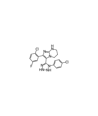 Fc1ccc(Cl)c(-c2nc3n(c2C2=NNNN2c2ccc(Cl)cc2)CCCN3)c1